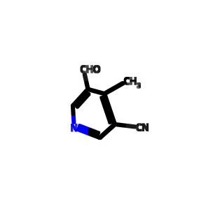 Cc1c(C#N)cncc1C=O